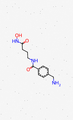 NCc1ccc(C(=O)NCCCC(=O)NO)cc1